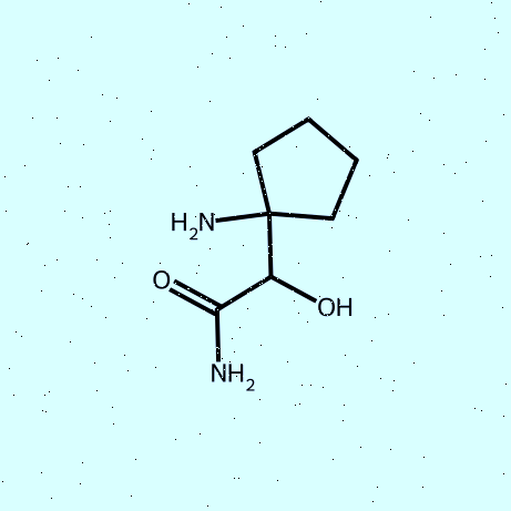 NC(=O)C(O)C1(N)CCCC1